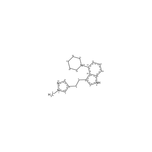 Cn1cc(CCc2c[nH]c3cccc(N4CCCCC4)c23)cn1